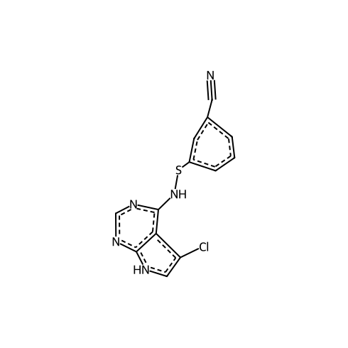 N#Cc1cccc(SNc2ncnc3[nH]cc(Cl)c23)c1